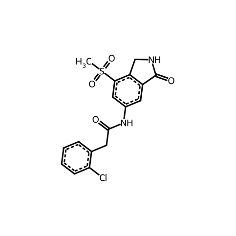 CS(=O)(=O)c1cc(NC(=O)Cc2ccccc2Cl)cc2c1CNC2=O